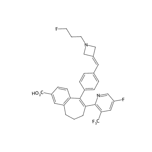 O=C(O)c1ccc2c(c1)CCCC(c1ncc(F)cc1C(F)(F)F)=C2c1ccc(C=C2CN(CCCF)C2)cc1